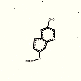 CCCCCCCOc1ccc2cc(C=O)cnc2c1